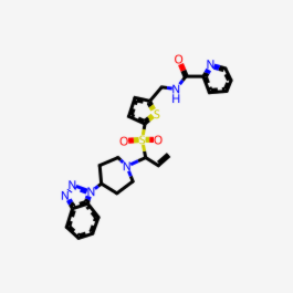 C=CC(N1CCC(n2nnc3ccccc32)CC1)S(=O)(=O)c1ccc(CNC(=O)c2ccccn2)s1